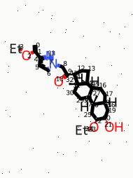 C=C(OCC)c1ccn(CC(=O)[C@H]2CC[C@H]3[C@@H]4CC[C@H]5C[C@H](O)[C@@H](OCC)C[C@]5(C)[C@H]4CC[C@]23C)n1